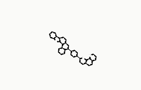 c1cnc2c(c1)ccc1ccc(-c3ccc(-c4cc5ccc6c7ccccc7sc6c5c5ccccc45)cc3)nc12